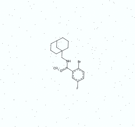 O=C(NCC12CCCC(CCC1)C2)c1cc(F)ccc1Br.[CH2]